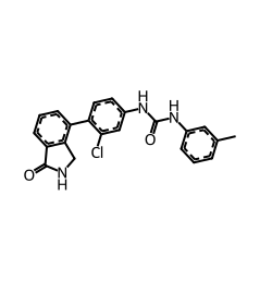 Cc1cccc(NC(=O)Nc2ccc(-c3cccc4c3CNC4=O)c(Cl)c2)c1